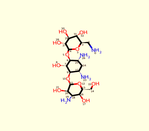 NC[C@H]1OC(O[C@@H]2[C@@H](O)[C@H](O[C@H]3O[C@H](CO)[C@@H](O)[C@H](N)[C@H]3O)[C@@H](N)C[C@H]2N)[C@H](O)[C@@H](O)[C@@H]1O